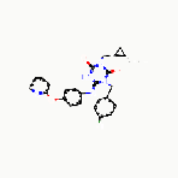 O=C(O)[C@@H]1C[C@@H]1Cn1c(=O)[nH]c(=Nc2ccc(Oc3ccccn3)cc2)n(Cc2ccc(Cl)cc2)c1=O